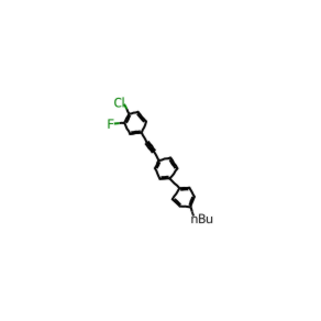 CCCCc1ccc(-c2ccc(C#Cc3ccc(Cl)c(F)c3)cc2)cc1